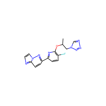 CC(Cn1cnnn1)Oc1nc(-c2ccc3nccn3n2)ccc1F